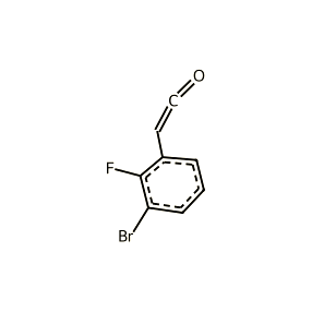 O=C=Cc1cccc(Br)c1F